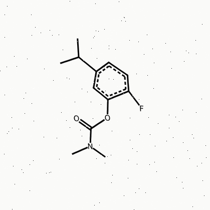 CC(C)c1ccc(F)c(OC(=O)N(C)C)c1